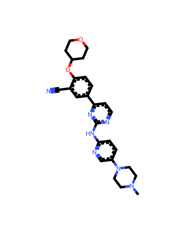 CN1CCN(c2ccc(Nc3nccc(-c4ccc(OC5CCOCC5)c(C#N)c4)n3)nc2)CC1